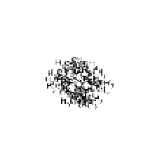 CC1=C(C)C(C)C([Si](c2c(C)c([Si](C)(C)C)cc([Si](C)(C)C)c2C)(c2c(C)c([Si](C)(C)C)cc([Si](C)(C)C)c2C)c2c(C)c([Si](C)(C)C)cc([Si](C)(C)C)c2C)=C1C